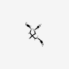 [CH2]C(CSC#N)(CSC#N)CSC#N